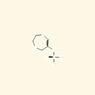 O=P(O)(S)OC1=CSCCSC1